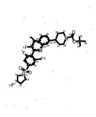 Cc1c(F)c(-c2c(F)cc(S(=O)(=O)N3CC[C@H](F)C3)cc2F)nc2cc(C3CCN(C(=O)OC(C)(C)C)CC3)ccc12